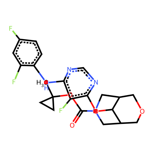 CC1(OC(=O)N2CC3COCC(C2)C3Oc2ncnc(Nc3ccc(F)cc3F)c2F)CC1